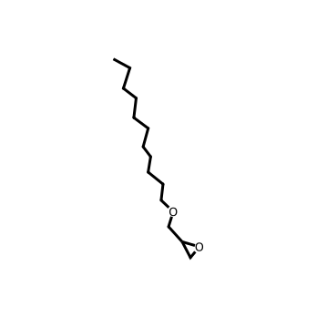 CCCCCCCCCCCOCC1CO1